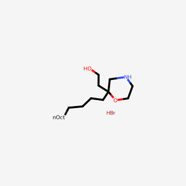 Br.CCCCCCCCCCCCC1(CCO)CNCCO1